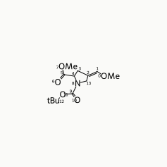 COC=C1CC(C(=O)OC)N(C(=O)OC(C)(C)C)C1